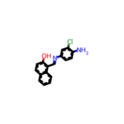 Nc1ccc(/N=C/c2c(O)ccc3ccccc23)cc1Cl